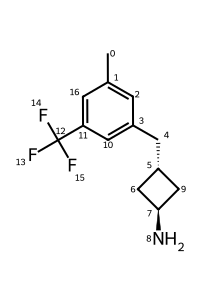 Cc1cc(C[C@H]2C[C@H](N)C2)cc(C(F)(F)F)c1